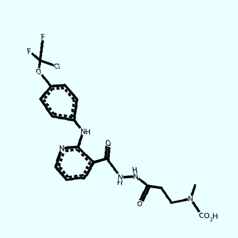 CN(CCC(=O)NNC(=O)c1cccnc1Nc1ccc(OC(F)(F)Cl)cc1)C(=O)O